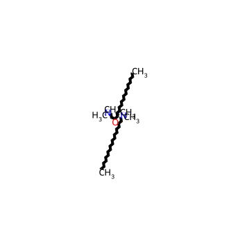 CCCCCCCCCCCCCCCCCC(CCN(C)C)OC(CCCCCCCCCCCCCCCCC)CCN(C)C